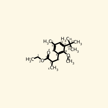 CCOC(=O)C(C)Cc1cc(C)cc(C(C)(C)C)c1OC